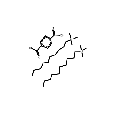 CCCCCCCCCC[N+](C)(C)C.CCCCCCCCCC[N+](C)(C)C.O=C(O)c1ccc(C(=O)O)cc1